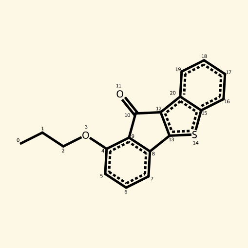 CCCOc1cccc2c1C(=O)c1c-2sc2ccccc12